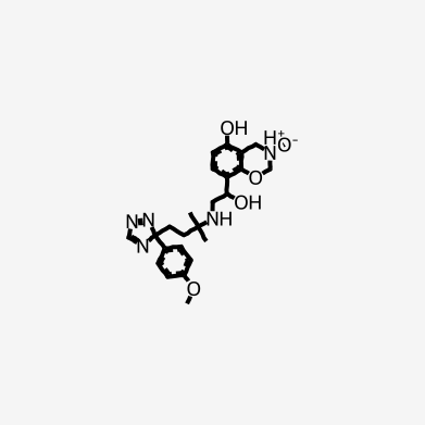 COc1ccc(C2(CCC(C)(C)NCC(O)c3ccc(O)c4c3OC[NH+]([O-])C4)N=CN=N2)cc1